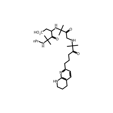 CCCNC(C)(C)C(=O)C(CC(=O)O)NC(C)(C)C(=O)CNC(C)(C)C(=O)CCCc1ccc2c(n1)NCCC2